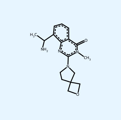 CC(N)c1cccc2c(=O)n(C)c(N3CCC4(COC4)C3)nc12